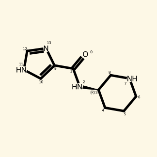 O=C(N[C@@H]1CCCNC1)c1c[nH]cn1